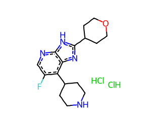 Cl.Cl.Fc1cnc2[nH]c(C3CCOCC3)nc2c1C1CCNCC1